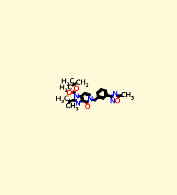 Cc1nc(-c2cccc(Cn3ccc4c(nc(C(C)C)n4C(=O)OC(C)(C)C)c3=O)c2)no1